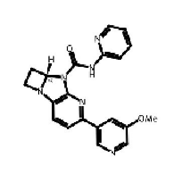 COc1cncc(-c2ccc3c(n2)N(C(=O)Nc2ccccn2)[C@H]2CCN32)c1